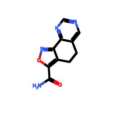 NC(=O)c1onc2c1CCc1cncnc1-2